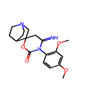 COc1ccc(N2C(=N)CC3(CN4CCC3CC4)OC2=O)c(OC)c1